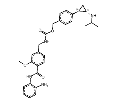 COc1cc(CNC(=O)OCc2ccc([C@H]3C[C@@H]3NC(C)C)cc2)ccc1C(=O)Nc1ccccc1N